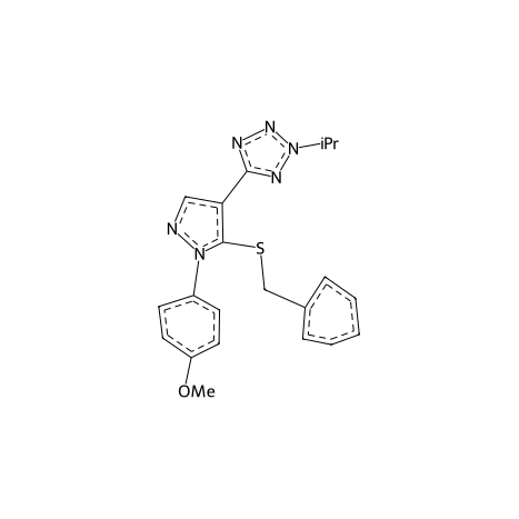 COc1ccc(-n2ncc(-c3nnn(C(C)C)n3)c2SCc2ccccc2)cc1